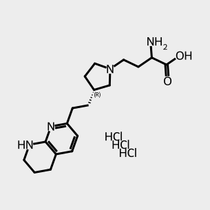 Cl.Cl.Cl.NC(CCN1CC[C@@H](CCc2ccc3c(n2)NCCC3)C1)C(=O)O